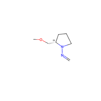 C=NN1CCC[C@H]1COC